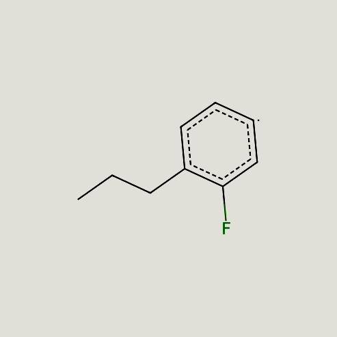 CCCc1cc[c]cc1F